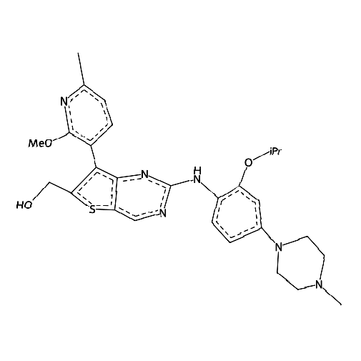 COc1nc(C)ccc1-c1c(CO)sc2cnc(Nc3ccc(N4CCN(C)CC4)cc3OC(C)C)nc12